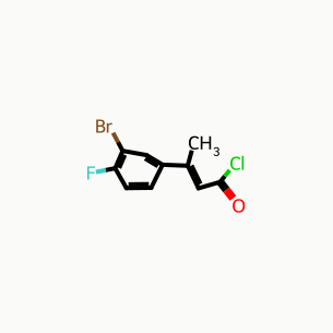 C/C(=C\C(=O)Cl)c1ccc(F)c(Br)c1